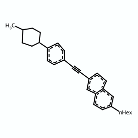 CCCCCCc1ccc2cc(C#Cc3ccc(C4CCC(C)CC4)cc3)ccc2c1